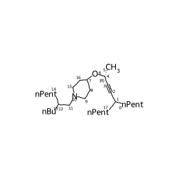 CCCCCC(C#C[C@@H](C)OC1CCN(CC(CCCC)CCCCC)CC1)CCCCC